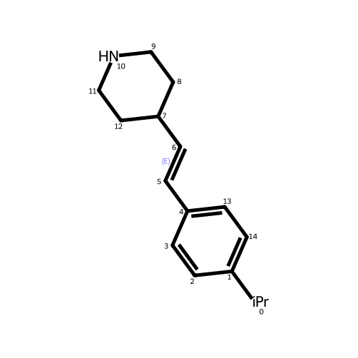 CC(C)c1ccc(/C=C/C2CCNCC2)cc1